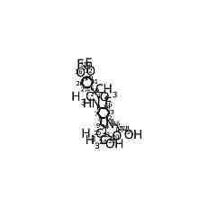 CC(C)(C(=O)Nc1cc2cc3n(c2cc1F)C[C@H](CO)OC(O)C3(C)C)c1ccc2c(c1)OC(F)(F)O2